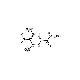 CN(C)c1c([N+](=O)[O-])cc(C(=O)OC(C)(C)C)cc1[N+](=O)[O-]